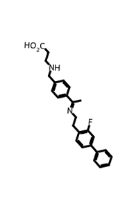 C/C(=N\CCc1ccc(-c2ccccc2)cc1F)c1ccc(CNCCC(=O)O)cc1